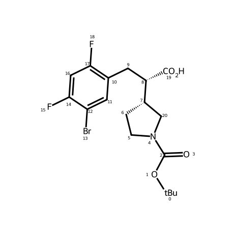 CC(C)(C)OC(=O)N1CC[C@H]([C@H](Cc2cc(Br)c(F)cc2F)C(=O)O)C1